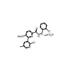 COc1ccc(C(=O)N[C@@H](CC(=O)O)c2ccccc2Cl)nc1-c1cc(C)cnc1Cl